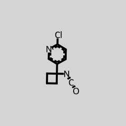 O=C=NC1(c2ccc(Cl)nc2)CCC1